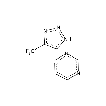 FC(F)(F)c1c[nH]nn1.c1cncnc1